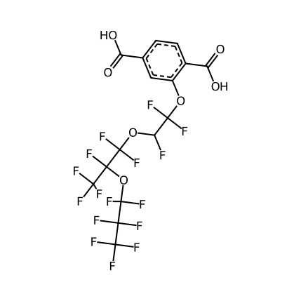 O=C(O)c1ccc(C(=O)O)c(OC(F)(F)C(F)OC(F)(F)C(F)(OC(F)(F)C(F)(F)C(F)(F)F)C(F)(F)F)c1